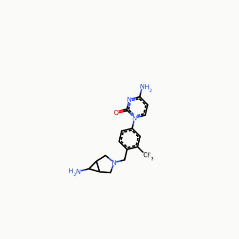 Nc1ccn(-c2ccc(CN3CC4C(N)C4C3)c(C(F)(F)F)c2)c(=O)n1